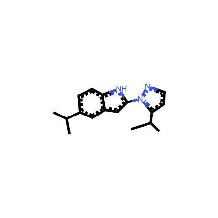 CC(C)c1ccc2[nH]c(-n3nccc3C(C)C)cc2c1